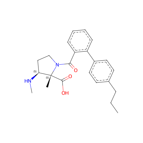 CCCc1ccc(-c2ccccc2C(=O)N2CC[C@H](NC)[C@@]2(C)C(=O)O)cc1